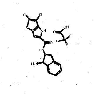 NC1c2ccccc2CC1NC(=O)c1cc2sc(Cl)c(Cl)c2[nH]1.O=C(O)C(F)(F)F